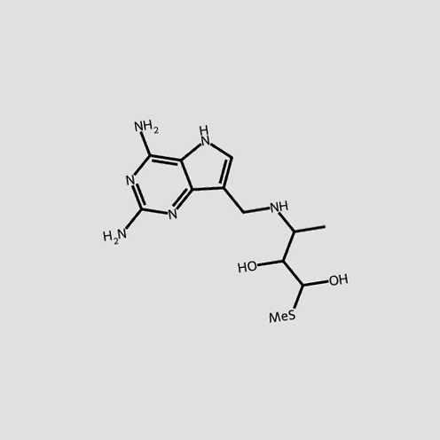 CSC(O)C(O)C(C)NCc1c[nH]c2c(N)nc(N)nc12